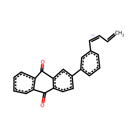 C=C/C=C\c1cccc(-c2ccc3c(c2)C(=O)c2ccccc2C3=O)c1